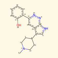 CN1CCC(c2c[nH]c3nnc(-c4ccccc4O)cc23)CC1